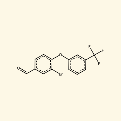 O=Cc1ccc(Oc2cccc(C(F)(F)F)c2)c(Br)c1